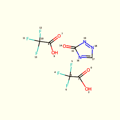 O=C(O)C(F)(F)F.O=C(O)C(F)(F)F.O=C1N=CN=N1